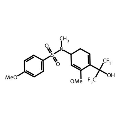 COC1=CC(N(C)S(=O)(=O)c2ccc(OC)cc2)CC=C1C(O)(C(F)(F)F)C(F)(F)F